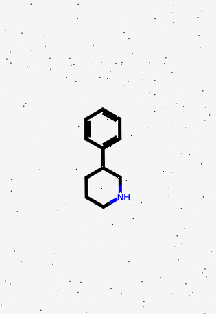 [c]1ccc(C2CCCNC2)cc1